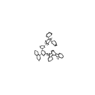 c1ccc(-c2nc(-c3ccccc3)nc(-c3cccc(-c4cc(-c5cccc6ccccc56)cc(-n5c6ccccc6c6c7sc8ccccc8c7ccc65)c4)c3)n2)cc1